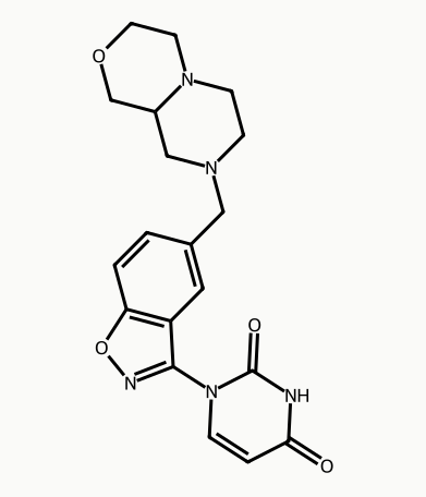 O=c1ccn(-c2noc3ccc(CN4CCN5CCOCC5C4)cc23)c(=O)[nH]1